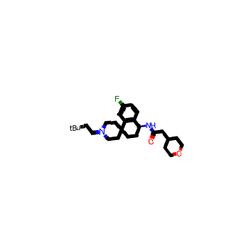 CC(C)(C)CCN1CCC2(CC[C@H](NC(=O)CC3CCOCC3)c3ccc(F)cc32)CC1